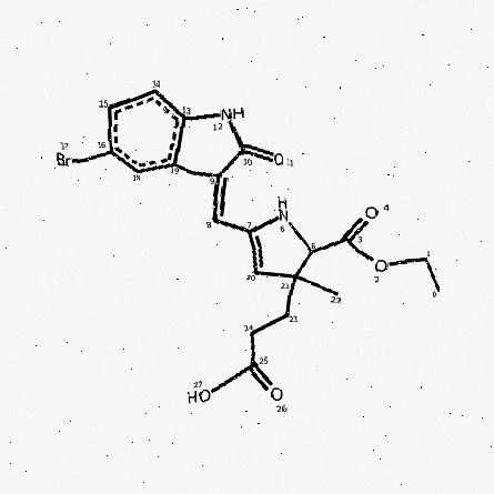 CCOC(=O)C1NC(/C=C2\C(=O)Nc3ccc(Br)cc32)=CC1(C)CCC(=O)O